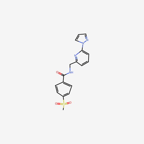 CS(=O)(=O)c1ccc(C(=O)NCc2cccc(-n3cccn3)n2)cc1